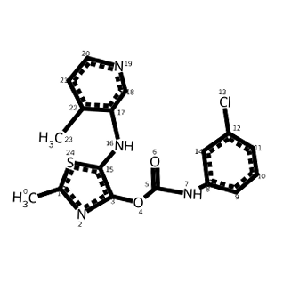 Cc1nc(OC(=O)Nc2cccc(Cl)c2)c(Nc2cnccc2C)s1